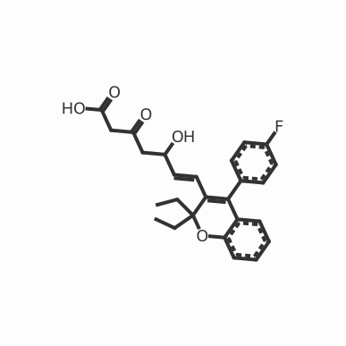 CCC1(CC)Oc2ccccc2C(c2ccc(F)cc2)=C1C=CC(O)CC(=O)CC(=O)O